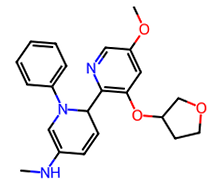 CNC1=CN(c2ccccc2)C(c2ncc(OC)cc2OC2CCOC2)C=C1